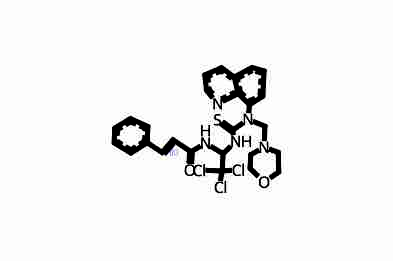 O=C(/C=C/c1ccccc1)NC(NC(=S)N(CN1CCOCC1)c1cccc2cccnc12)C(Cl)(Cl)Cl